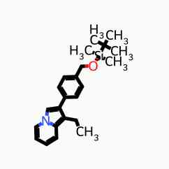 CCc1c(-c2ccc(CO[Si](C)(C)C(C)(C)C)cc2)cn2ccccc12